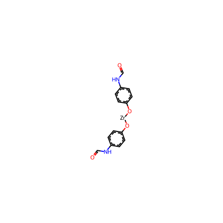 O=CNc1ccc([O][Zr][O]c2ccc(NC=O)cc2)cc1